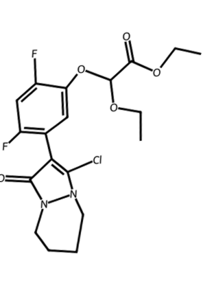 CCOC(=O)C(OCC)Oc1cc(-c2c(Cl)n3n(c2=O)CCCC3)c(F)cc1F